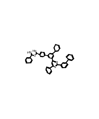 N=C(OC(=N)c1ccc(-c2cc(-c3cc(-c4ccccc4)nc(-c4cccc(-c5ccccc5)c4)n3)cc(C3CC=CCC3)c2)cc1)c1ccccc1